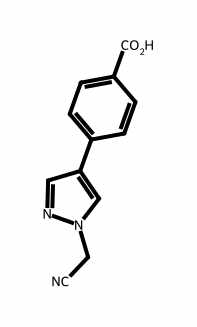 N#CCn1cc(-c2ccc(C(=O)O)cc2)cn1